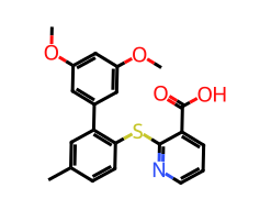 COc1cc(OC)cc(-c2cc(C)ccc2Sc2ncccc2C(=O)O)c1